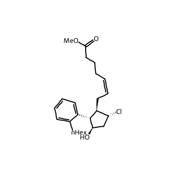 CCCCCCc1ccccc1[C@@H]1[C@@H](C/C=C\CCCC(=O)OC)[C@H](Cl)C[C@H]1O